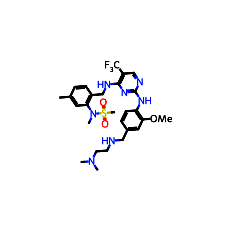 COc1cc(CNCCN(C)C)ccc1Nc1ncc(C(F)(F)F)c(NCc2ccc(C)cc2N(C)S(C)(=O)=O)n1